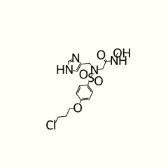 O=C(CN(Cc1c[nH]cn1)S(=O)(=O)c1ccc(OCCCCl)cc1)NO